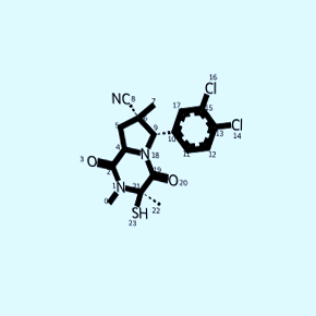 CN1C(=O)C2C[C@](C)(C#N)[C@H](c3ccc(Cl)c(Cl)c3)N2C(=O)[C@@]1(C)S